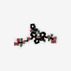 CC1(Oc2cc(COCCOC(F)(F)C(=O)O)c(C3CCCC3(C)Oc3cc(COC(F)(F)C(=O)O)ccc3F)cc2F)CCCC1